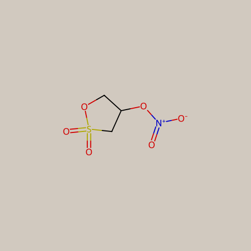 O=[N+]([O-])OC1COS(=O)(=O)C1